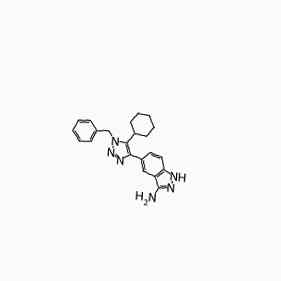 Nc1n[nH]c2ccc(-c3nnn(Cc4ccccc4)c3C3CCCCC3)cc12